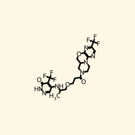 CC(COCCC(=O)N1CCN2c3ncc(C(F)(F)F)nc3OCC2C1)Nc1cn[nH]c(=O)c1C(F)(F)F